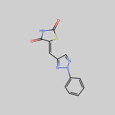 O=C1NC(=O)C(=Cc2cnn(-c3ccccc3)n2)S1